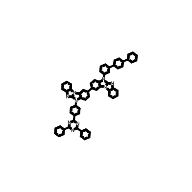 c1ccc(-c2ccc(-c3cccc(-n4c5ccc(-c6ccc7c(c6)n6c8ccccc8nc6n7-c6ccc(-c7nc(-c8ccccc8)nc(-c8ccccc8)n7)cc6)cc5n5c6ccccc6nc45)c3)cc2)cc1